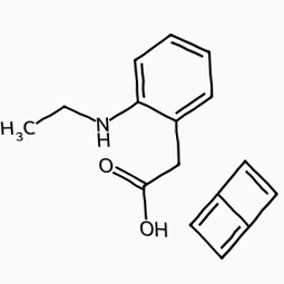 CCNc1ccccc1CC(=O)O.c1cc2ccc1-2